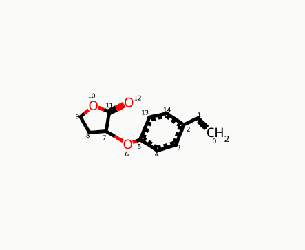 C=Cc1ccc(OC2CCOC2=O)cc1